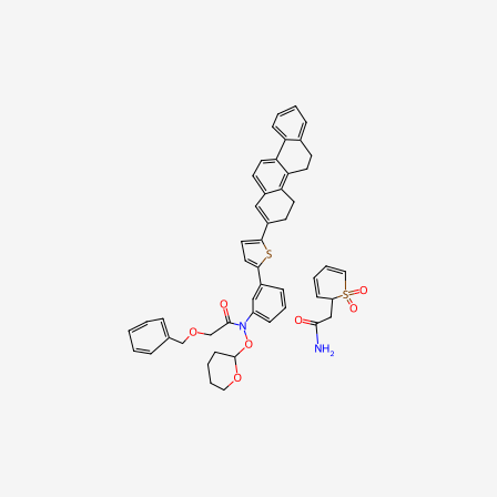 NC(=O)CC1C=CC=CS1(=O)=O.O=C(COCc1ccccc1)N(OC1CCCCO1)c1cccc(-c2ccc(C3=Cc4ccc5c(c4CC3)CCc3ccccc3-5)s2)c1